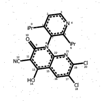 CC(C)c1ccnc(C(C)C)c1-n1c(=O)c(C#N)c(O)c2cc(Cl)c(Cl)nc21